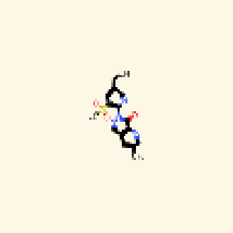 CCS(=O)(=O)c1cc(CC#N)cnc1-n1ncc2cc(C(F)(F)F)cnc2c1=O